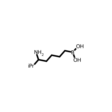 CC(C)C(N)CCCCB(O)O